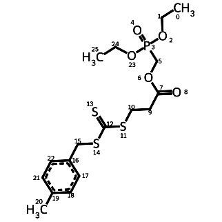 CCOP(=O)(COC(=O)CCSC(=S)SCc1ccc(C)cc1)OCC